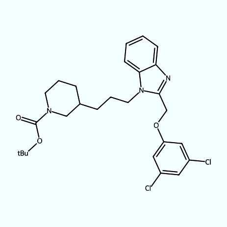 CC(C)(C)OC(=O)N1CCCC(CCCn2c(COc3cc(Cl)cc(Cl)c3)nc3ccccc32)C1